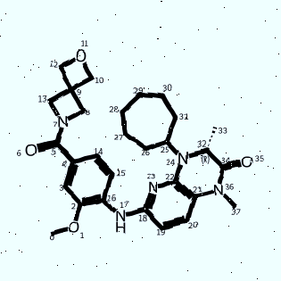 COc1cc(C(=O)N2CC3(COC3)C2)ccc1Nc1ccc2c(n1)N(C1CCCCCC1)[C@H](C)C(=O)N2C